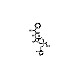 Cn1ncnc1SCC1(C(=O)O)CS[C@@H]2C(NC(=O)C(O)c3ccccc3)C(=O)N2C1